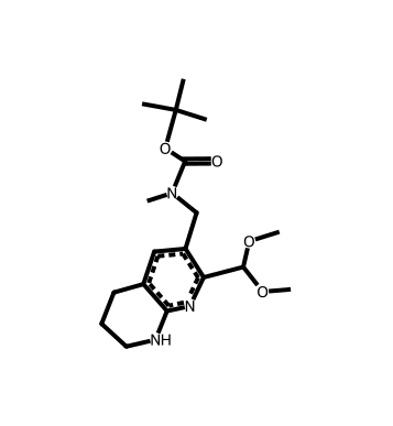 COC(OC)c1nc2c(cc1CN(C)C(=O)OC(C)(C)C)CCCN2